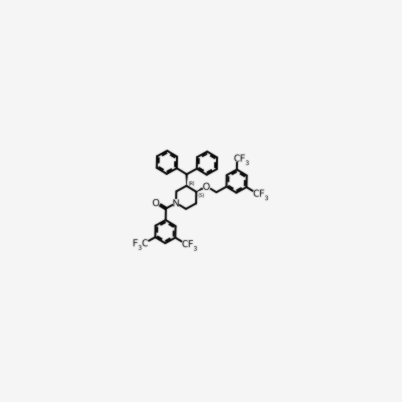 O=C(c1cc(C(F)(F)F)cc(C(F)(F)F)c1)N1CC[C@H](OCc2cc(C(F)(F)F)cc(C(F)(F)F)c2)[C@H](C(c2ccccc2)c2ccccc2)C1